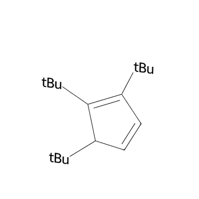 CC(C)(C)C1=C(C(C)(C)C)C(C(C)(C)C)C=C1